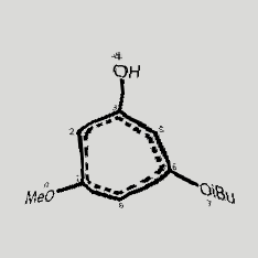 COc1cc(O)cc(OCC(C)C)c1